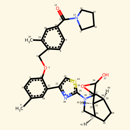 Cc1ccc(OCc2ccc(C(=O)N3CCCC3)cc2C)c(-c2csc(N3C[C@H]4CC[C@@H](C3)[C@H]4C3OC3O)n2)c1